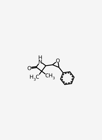 CC1(C)C(=O)NC1C1OC1c1ccccc1